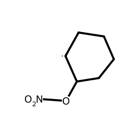 O=[N+]([O-])OC1[CH]CCCC1